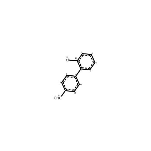 O=Cc1ccc(-c2ccccc2Cl)cc1